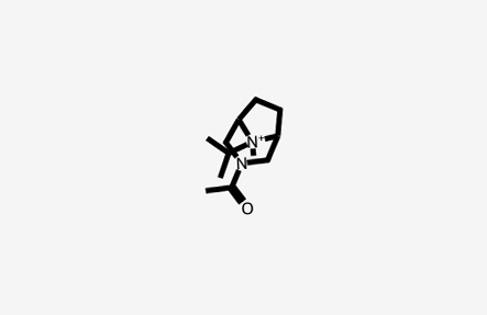 CC(=O)N1CC2CCC(C1)[N+]2(C)C(C)C